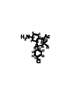 CC(=O)N1c2ccc(N)cc2C(C)(c2ccc(Cl)cc2)CC1(C)C